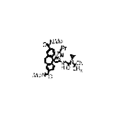 CNC(=O)c1ccc2c(c1)CCc1cc(C(=O)NC)ccc1C2(CCNCC(=O)N(C(C)C#N)C1CC1)c1nnc(C(C)C)o1